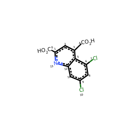 O=C(O)c1cc(C(=O)O)c2c(Cl)cc(Cl)cc2n1